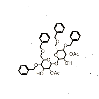 CC(=O)O[C@@H]1[C@@H](O)[C@@H](O[C@@H]2O[C@H](COCc3ccccc3)[C@@H](OCc3ccccc3)[C@H](O)[C@H]2OC(C)=O)O[C@H](COCc2ccccc2)[C@H]1OCc1ccccc1